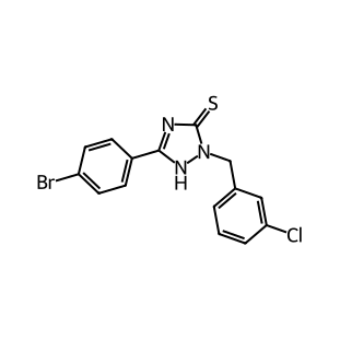 S=c1nc(-c2ccc(Br)cc2)[nH]n1Cc1cccc(Cl)c1